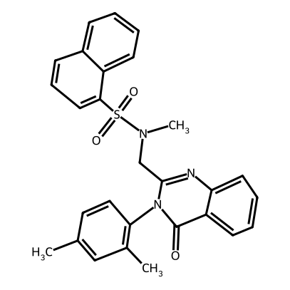 Cc1ccc(-n2c(CN(C)S(=O)(=O)c3cccc4ccccc34)nc3ccccc3c2=O)c(C)c1